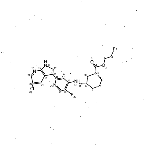 O=C(OCCF)N1CCC[C@H](CNc2nc(-c3c[nH]c4ncc(Cl)cc34)ncc2F)C1